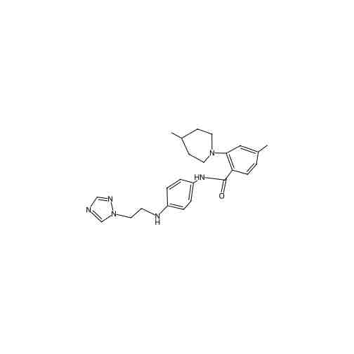 Cc1ccc(C(=O)Nc2ccc(NCCn3cncn3)cc2)c(N2CCC(C)CC2)c1